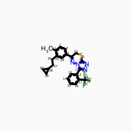 Cc1ccc(C2=Nn3c(nnc3-c3ccccc3C(F)(F)F)SC2)cc1CCC1CC1